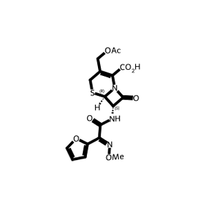 CON=C(C(=O)N[C@H]1C(=O)N2C(C(=O)O)=C(COC(C)=O)CS[C@H]12)c1ccco1